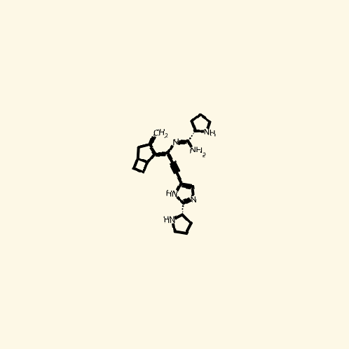 C=C1CC2CCC2/C1=C(C#Cc1cnc([C@@H]2CCCN2)[nH]1)/N=C(\N)[C@@H]1CCCN1